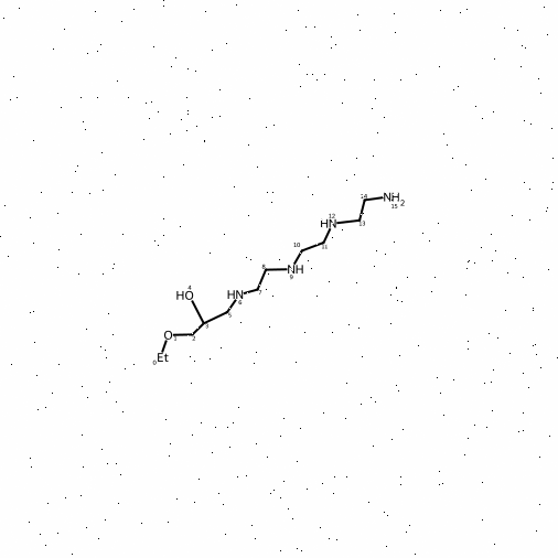 CCOCC(O)CNCCNCCNCCN